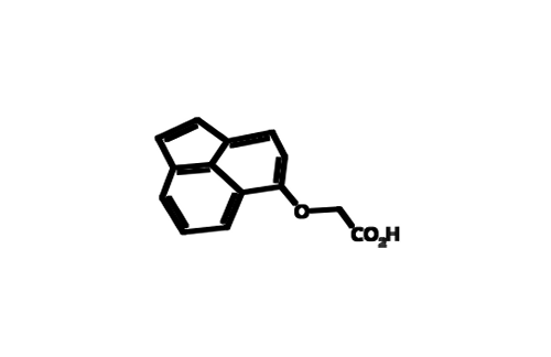 O=C(O)COc1ccc2c3c(cccc13)C=C2